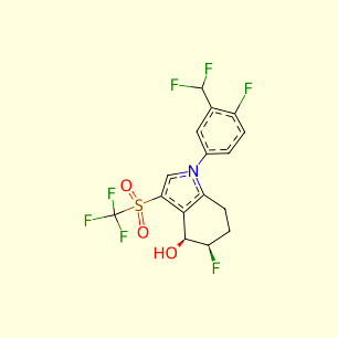 O=S(=O)(c1cn(-c2ccc(F)c(C(F)F)c2)c2c1[C@H](O)[C@H](F)CC2)C(F)(F)F